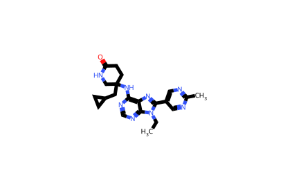 CCn1c(-c2cnc(C)nc2)nc2c(NC3(CC4CC4)CCC(=O)NC3)ncnc21